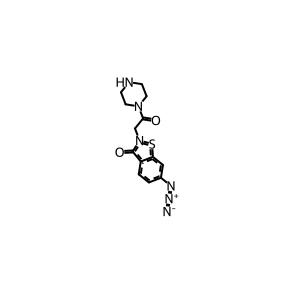 [N-]=[N+]=Nc1ccc2c(=O)n(CC(=O)N3CCNCC3)sc2c1